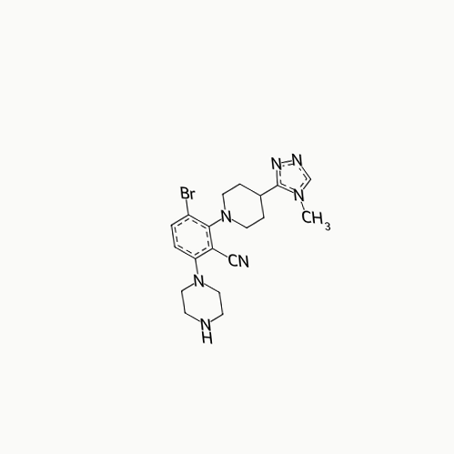 Cn1cnnc1C1CCN(c2c(Br)ccc(N3CCNCC3)c2C#N)CC1